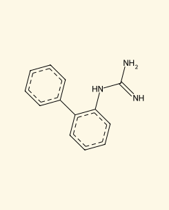 N=C(N)Nc1ccccc1-c1ccccc1